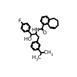 CC(C)c1cccc(CC(NC(=O)c2cccc3c2C=CCCC3)C(O)c2ccc(F)cc2)c1